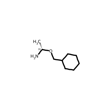 C[C@@H](N)OCC1CCCCC1